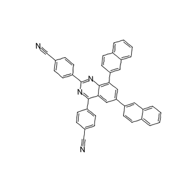 N#Cc1ccc(-c2nc(-c3ccc(C#N)cc3)c3cc(-c4ccc5ccccc5c4)cc(-c4ccc5ccccc5c4)c3n2)cc1